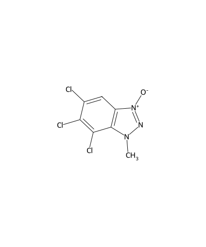 Cn1n[n+]([O-])c2cc(Cl)c(Cl)c(Cl)c21